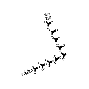 O.O.O=C([O-])[O-].O=C([O-])[O-].O=C([O-])[O-].O=C([O-])[O-].O=C([O-])[O-].O=C([O-])[O-].O=C([O-])[O-].O=C([O-])[O-].O=C([O-])[O-].[Ce+3].[Ce+3].[La+3].[La+3].[Nd+3].[Nd+3]